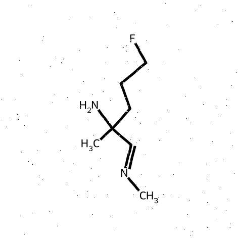 C/N=C/C(C)(N)CCCF